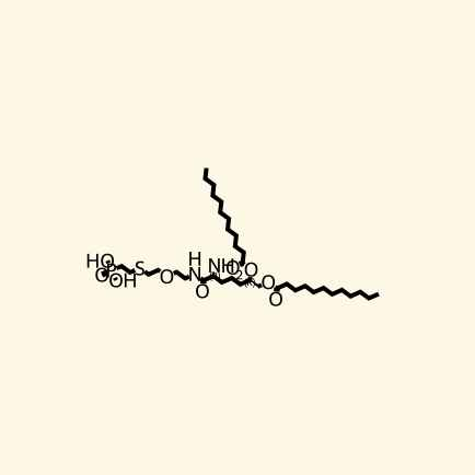 CCCCCCCCCCCC(=O)OC[C@@H](CCC[C@@H](N)C(=O)NCCOCCSCCP(=O)(O)O)OC(=O)CCCCCCCCCCC